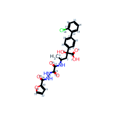 CC(CC(O)(C(=O)O)c1ccc(-c2ccccc2Cl)cc1)NC(=O)C(=O)NNC(=O)c1ccco1